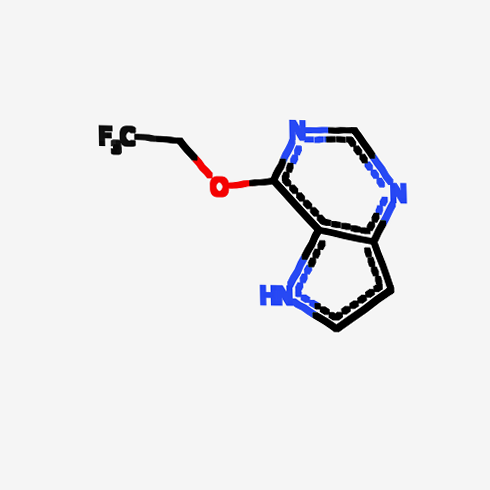 FC(F)(F)COc1ncnc2cc[nH]c12